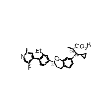 CCc1cc([C@@H]2CCc3ccc([C@H](C4CC4)[C@H](C)C(=O)O)cc3O2)ccc1-c1cc(C)ncc1F